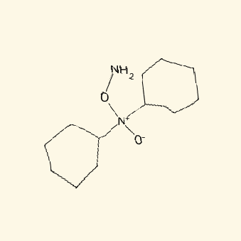 NO[N+]([O-])(C1CCCCC1)C1CCCCC1